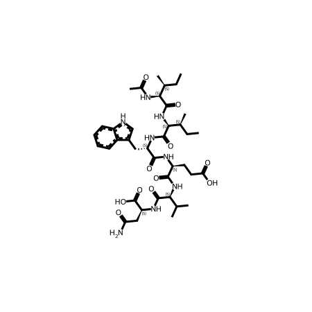 CC[C@H](C)[C@H](NC(C)=O)C(=O)N[C@H](C(=O)N[C@@H](Cc1c[nH]c2ccccc12)C(=O)N[C@@H](CCC(=O)O)C(=O)N[C@H](C(=O)N[C@@H](CC(N)=O)C(=O)O)C(C)C)[C@@H](C)CC